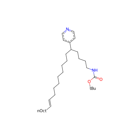 CCCCCCCCC=CCCCCCCCCC(CCCCNC(=O)OC(C)(C)C)c1ccncc1